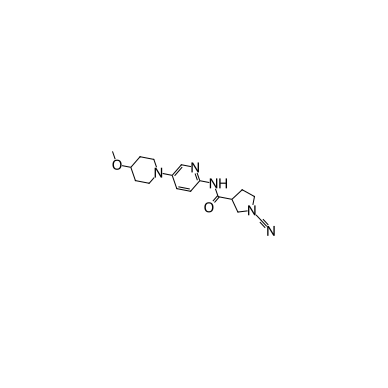 COC1CCN(c2ccc(NC(=O)C3CCN(C#N)C3)nc2)CC1